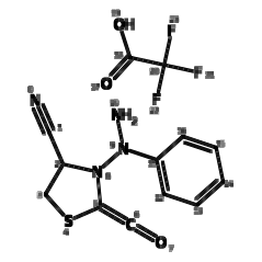 N#CC1CSC(=C=O)N1N(N)c1ccccc1.O=C(O)C(F)(F)F